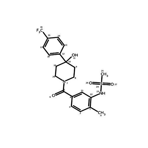 Cc1ccc(C(=O)N2CCC(O)(c3ccc(C(F)(F)F)cc3)CC2)cc1NS(C)(=O)=O